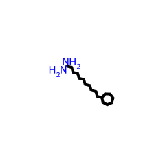 NC(N)CCCCCCCCCCC1CCCCCC1